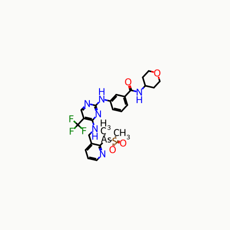 C[As](c1ncccc1CNc1nc(Nc2cccc(C(=O)NC3CCOCC3)c2)ncc1C(F)(F)F)S(C)(=O)=O